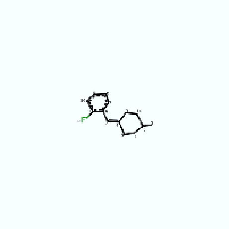 CC1CCC(=Cc2ccccc2F)CC1